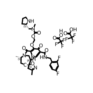 CC1=NO[C@@]2(CC[C@H](C)N3C[C@H]2n2cc(C(=O)NCc4ccc(F)cc4F)c(=O)c(OCOC(=O)N(C)C[C@@H]4CCCN4)c2C3=O)C1.O=C(O)C(F)(F)F.O=C(O)C(F)(F)F